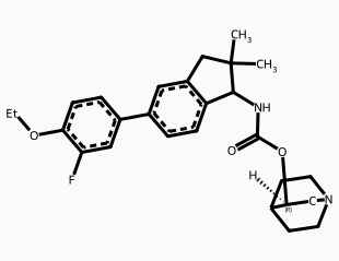 CCOc1ccc(-c2ccc3c(c2)CC(C)(C)C3NC(=O)O[C@H]2CN3CCC2CC3)cc1F